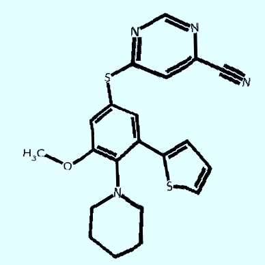 COc1cc(Sc2cc(C#N)ncn2)cc(-c2cccs2)c1N1CCCCC1